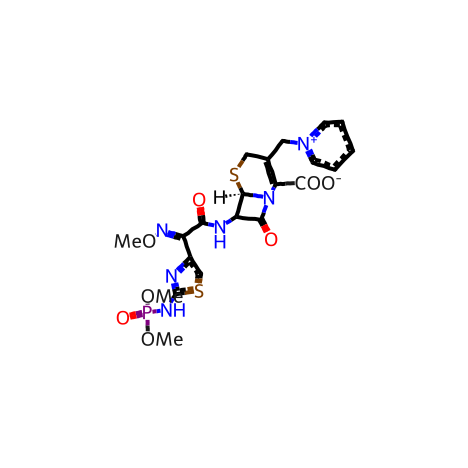 CO/N=C(/C(=O)NC1C(=O)N2C(C(=O)[O-])=C(C[n+]3ccccc3)CS[C@H]12)c1csc(NP(=O)(OC)OC)n1